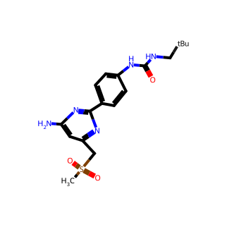 CC(C)(C)CNC(=O)Nc1ccc(-c2nc(N)cc(CS(C)(=O)=O)n2)cc1